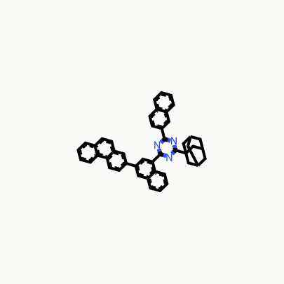 c1ccc2cc(-c3nc(-c4cc(-c5ccc6c(ccc7ccccc76)c5)cc5ccccc45)nc(C45CC6CC(CC(C6)C4)C5)n3)ccc2c1